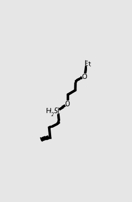 C=CCC[SiH2]OCCCOCC